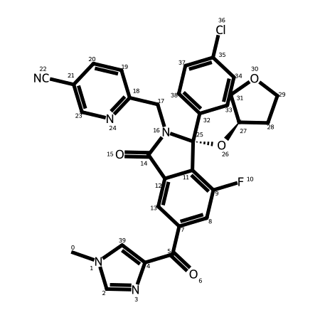 Cn1cnc(C(=O)c2cc(F)c3c(c2)C(=O)N(Cc2ccc(C#N)cn2)[C@@]3(O[C@@H]2CCOC2)c2ccc(Cl)cc2)c1